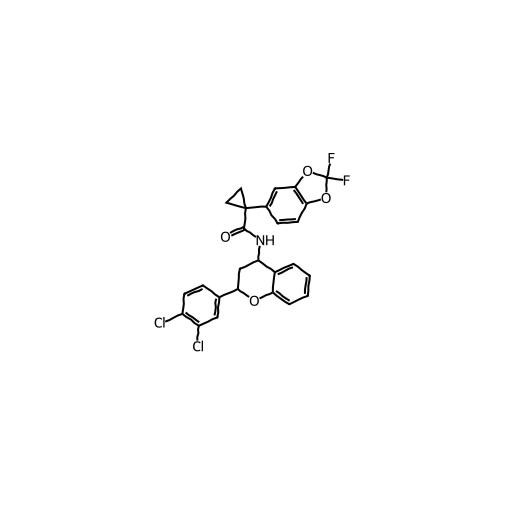 O=C(NC1CC(c2ccc(Cl)c(Cl)c2)Oc2ccccc21)C1(c2ccc3c(c2)OC(F)(F)O3)CC1